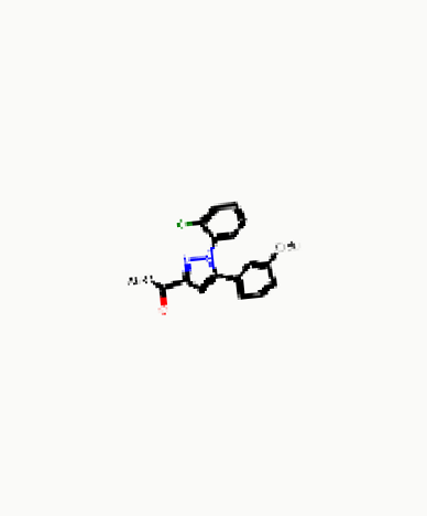 COC(=O)c1cc(-c2cccc(OCC(C)C)c2)n(-c2ccccc2Cl)n1